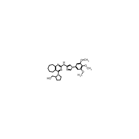 COc1cc(-n2cnc(Nc3nc4c(c(N5CCCC5CO)n3)CCCCC4)c2)cc(OC)c1OC